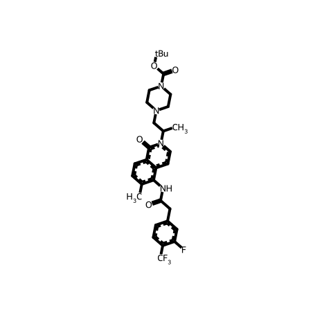 Cc1ccc2c(=O)n(C(C)CN3CCN(C(=O)OC(C)(C)C)CC3)ccc2c1NC(=O)Cc1ccc(C(F)(F)F)c(F)c1